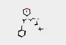 CC(CN(C)C(=O)OC(C)(C)C)N(C(=O)OCc1ccccc1)C12CCC(CC1)CC2